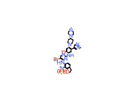 COc1cc(N2CCC(N3CCN(C)CC3)CC2)c(-c2cnn(C)c2)cc1Nc1ncc(Br)c(Nc2ccc3c(c2N(C)S(C)(=O)=O)OCC3)n1